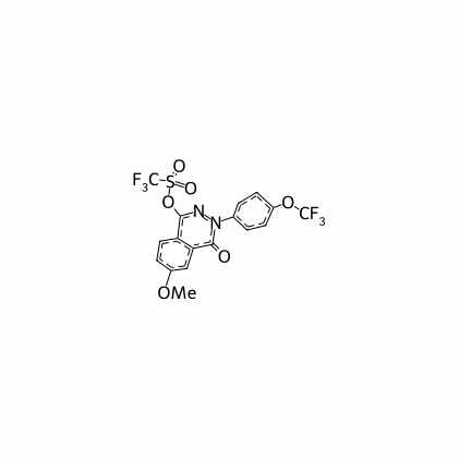 COc1ccc2c(OS(=O)(=O)C(F)(F)F)nn(-c3ccc(OC(F)(F)F)cc3)c(=O)c2c1